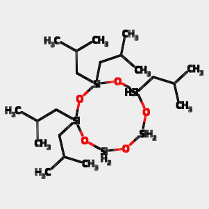 CC(C)C[SiH]1O[SiH2]O[SiH2]O[Si](CC(C)C)(CC(C)C)O[Si](CC(C)C)(CC(C)C)O1